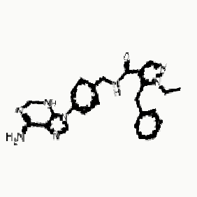 CCn1ncc(C(=O)NCc2ccc(-n3cnc4c3NCN=C4N)cc2)c1Cc1ccccc1